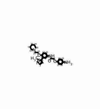 Cn1nccc1-c1cc(NC(=O)COc2ccc(N)cc2)ccc1OCCN1CCCCC1